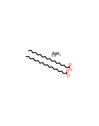 CCCCCCCCCCCCCCCCCC(=O)[O-].CCCCCCCCCCCCCCCCCC(=O)[O-].[BaH2].[Cd+2]